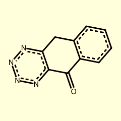 O=C1c2ccccc2Cc2nnnnc21